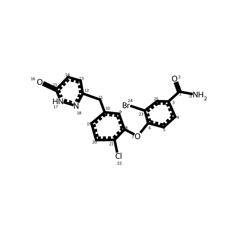 NC(=O)c1ccc(Oc2cc(Cc3ccc(=O)[nH]n3)ccc2Cl)c(Br)c1